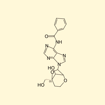 O=C(Nc1ncnc2c1ncn2C1O[C@]2(CO)CCOC1C2O)c1ccccc1